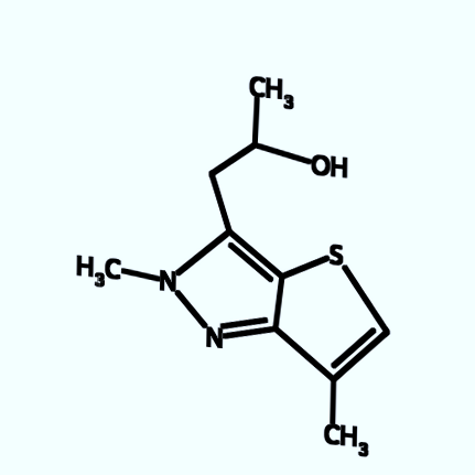 Cc1csc2c(CC(C)O)n(C)nc12